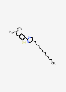 CCCCCCCCCCCCc1cnc(-c2ccc(CC(C)CC)cc2S)nc1